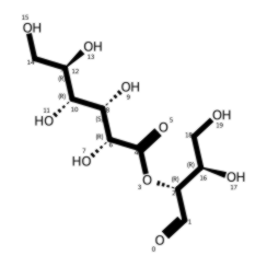 O=C[C@H](OC(=O)[C@H](O)[C@@H](O)[C@H](O)[C@H](O)CO)[C@H](O)CO